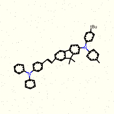 Cc1ccc(N(c2ccc(C(C)(C)C)cc2)c2ccc3c(c2)C(C)(C)c2cc(/C=C/c4ccc(N(c5ccccc5)c5ccccc5)cc4)ccc2-3)cc1